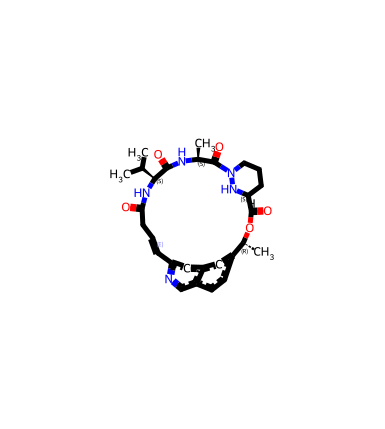 CC(C)[C@@H]1NC(=O)C/C=C/c2cc3cc(ccc3cn2)[C@@H](C)OC(=O)[C@@H]2CCCN(N2)C(=O)[C@H](C)NC1=O